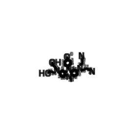 COc1ccc(-[n+]2c3cc(N(CCO)CCO)ccc3nc3ccc(N(CCC#N)CCC#N)cc32)cc1.[I-]